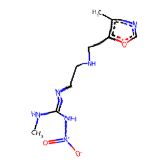 CNC(=NCCNCc1ocnc1C)N[N+](=O)[O-]